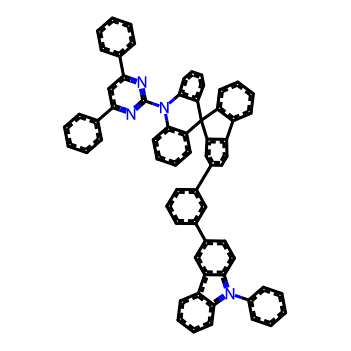 c1ccc(-c2cc(-c3ccccc3)nc(N3c4ccccc4C4(c5ccccc5-c5ccc(-c6cccc(-c7ccc8c(c7)c7ccccc7n8-c7ccccc7)c6)cc54)c4ccccc43)n2)cc1